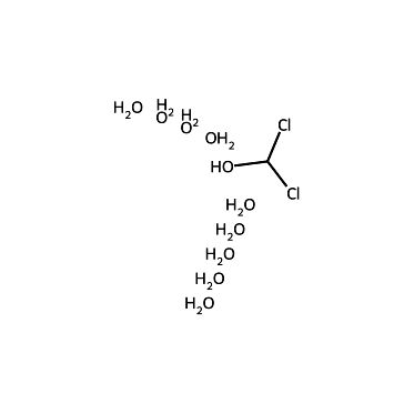 O.O.O.O.O.O.O.O.O.OC(Cl)Cl